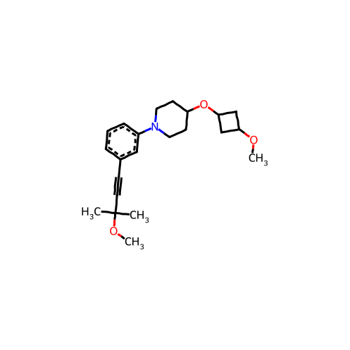 COC1CC(OC2CCN(c3cccc(C#CC(C)(C)OC)c3)CC2)C1